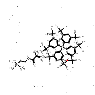 C=C(C)C(=O)OCC[N+](C)(C)C.FC(F)(F)c1cc([B-](c2cc(C(F)(F)F)cc(C(F)(F)F)c2)(c2cc(C(F)(F)F)cc(C(F)(F)F)c2)c2cc(C(F)(F)F)cc(C(F)(F)F)c2)cc(C(F)(F)F)c1